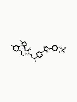 CCCc1ccc(C)cc1-n1c(C)cs/c1=N\C(=O)NCCC(C)c1ccc(-c2ncn(-c3ccc(OC(F)(F)F)cc3)n2)cc1